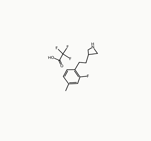 Cc1ccc(CCC2CNC2)c(F)c1.O=C(O)C(F)(F)F